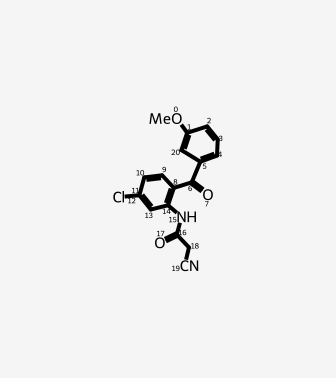 COc1cccc(C(=O)c2ccc(Cl)cc2NC(=O)CC#N)c1